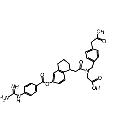 N=C(N)Nc1ccc(C(=O)Oc2ccc3c(c2)CCCC3CC(=O)N(CC(=O)O)Cc2ccc(CC(=O)O)cc2)cc1